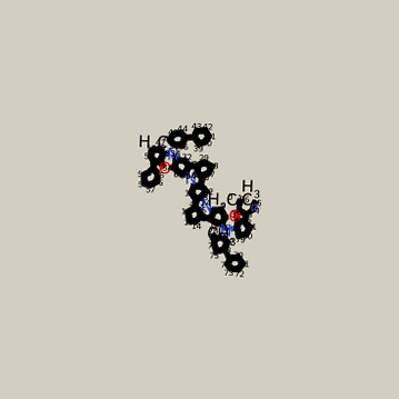 C=Cc1oc2c(N(c3ccc4c(c3)c3cccc5c6cc7c(cc6n4c35)c3cccc4c5cc(N(c6cc(-c8ccccc8)ccc6C)c6cccc8c6oc6ccccc68)ccc5n7c43)c3cc(-c4ccccc4)ccc3C)cccc2c1/C=C\C